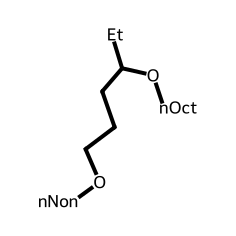 [CH2]CC(CCCOCCCCCCCCC)OCCCCCCCC